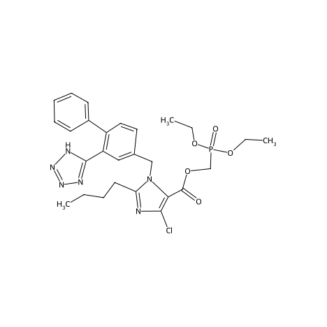 CCCCc1nc(Cl)c(C(=O)OCP(=O)(OCC)OCC)n1Cc1ccc(-c2ccccc2)c(-c2nnn[nH]2)c1